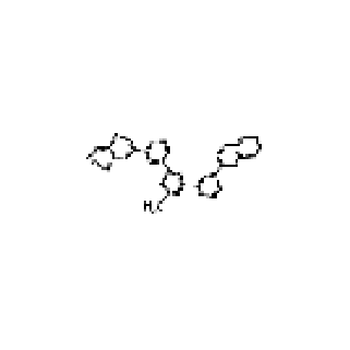 Cc1cc(-c2cccc(-c3ccc4ccccc4c3)c2)nc(-c2cccc(-c3ccc4ccccc4c3)c2)c1